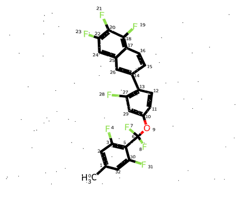 Cc1cc(F)c(C(F)(F)Oc2ccc(-c3ccc4c(F)c(F)c(F)cc4c3)c(F)c2)c(F)c1